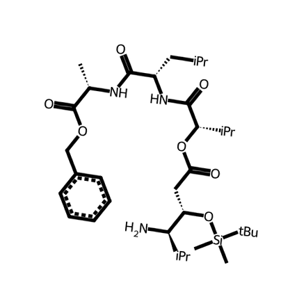 CC(C)C[C@H](NC(=O)[C@@H](OC(=O)C[C@H](O[Si](C)(C)C(C)(C)C)[C@H](N)C(C)C)C(C)C)C(=O)N[C@@H](C)C(=O)OCc1ccccc1